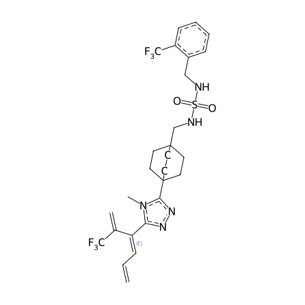 C=C/C=C(\C(=C)C(F)(F)F)c1nnc(C23CCC(CNS(=O)(=O)NCc4ccccc4C(F)(F)F)(CC2)CC3)n1C